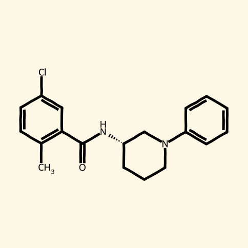 Cc1ccc(Cl)cc1C(=O)N[C@H]1CCCN(c2ccccc2)C1